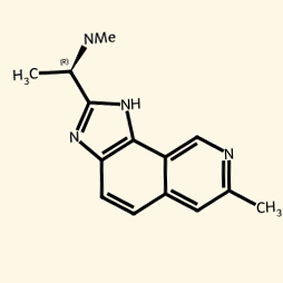 CN[C@H](C)c1nc2ccc3cc(C)ncc3c2[nH]1